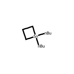 CCC[CH2][Sn]1([CH2]CCC)[CH2]C[CH2]1